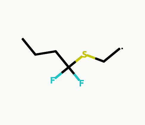 [CH2]CSC(F)(F)CCC